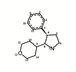 c1ccc([C@H]2CC[N]C2C2CCOCC2)cc1